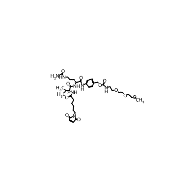 COCCOCCOCCNC(=O)OCc1ccc(NC(=O)[C@H](CCCNC(N)=O)NC(=O)[C@@H](NC(=O)CCCCCN2C(=O)C=CC2=O)C(C)C)cc1